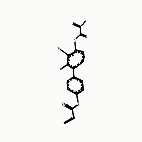 C=CC(=O)Sc1ccc(-c2ccc(SC(=O)C(=C)C)c(F)c2F)cc1